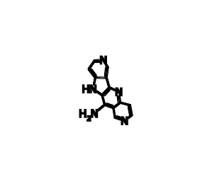 Nc1c2cnccc2nc2c1[nH]c1ccncc12